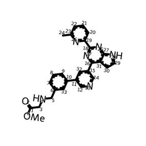 COC(=O)CNCc1cccc(-c2cncc(-c3nc(-c4cccc(C)n4)nc4[nH]ccc34)c2)c1